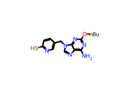 CCCCOc1nc(N)c2ncn(Cc3ccc(S)nc3)c2n1